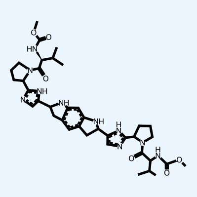 COC(=O)NC(C(=O)N1CCCC1c1ncc(C2Cc3cc4c(cc3N2)NC(c2cnc(C3CCCN3C(=O)[C@@H](NC(=O)OC)C(C)C)[nH]2)C4)[nH]1)C(C)C